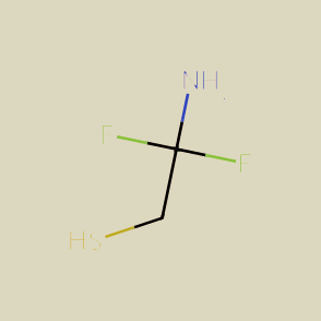 NC(F)(F)CS